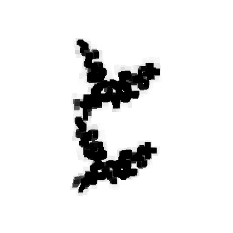 CCOC(=O)Cn1cc([C@H]2CC3(CCN2Cc2c(OC)cc(C)c4c2ccn4C(=O)OC(C)(C)C)CC(F)(F)C3)cn1.CCOC(=O)Cn1cc([C@H]2CC3(CCN2Cc2c(OC)cc(C)c4c2ccn4C(=O)OC(C)(C)C)CC(F)(F)C3)cn1